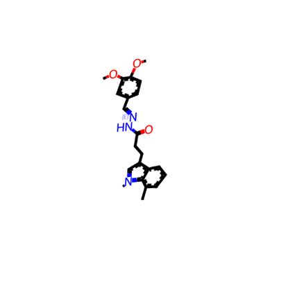 COc1ccc(/C=N/NC(=O)CCc2cn(C)c3c(C)cccc23)cc1OC